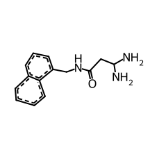 NC(N)CC(=O)NCc1cccc2ccccc12